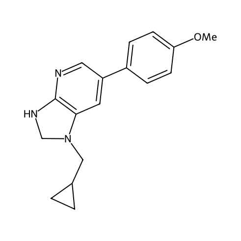 COc1ccc(-c2cnc3c(c2)N(CC2CC2)CN3)cc1